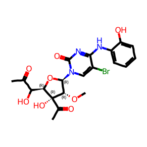 CO[C@H]1[C@H](n2cc(Br)c(Nc3ccccc3O)nc2=O)O[C@H](C(O)C(C)=O)[C@]1(O)C(C)=O